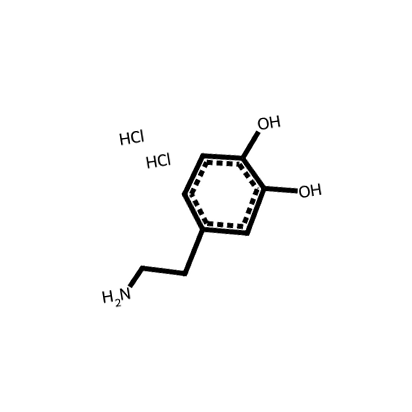 Cl.Cl.NCCc1ccc(O)c(O)c1